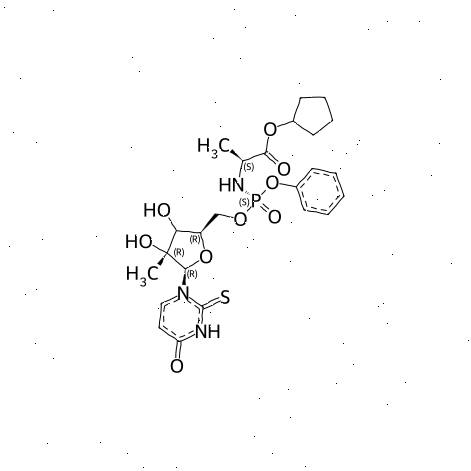 C[C@H](N[P@](=O)(OC[C@H]1O[C@@H](n2ccc(=O)[nH]c2=S)[C@](C)(O)C1O)Oc1ccccc1)C(=O)OC1CCCC1